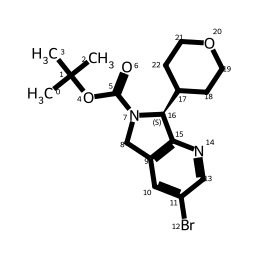 CC(C)(C)OC(=O)N1Cc2cc(Br)cnc2[C@@H]1C1CCOCC1